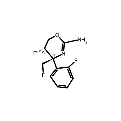 NC1=N[C@](CF)(c2ccccc2F)[C@H](F)CO1